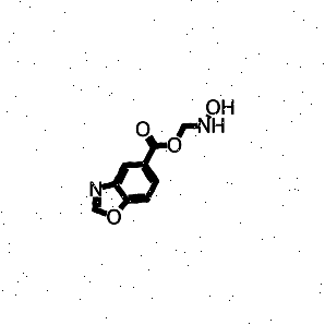 O=C(OCNO)c1ccc2ocnc2c1